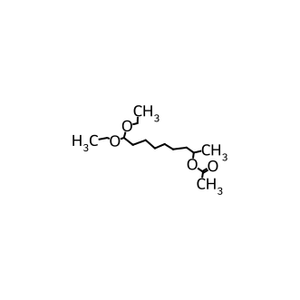 CCOC(CCCCCCC(C)OC(C)=O)OCC